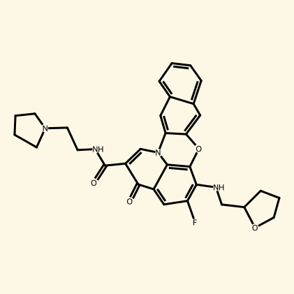 O=C(NCCN1CCCC1)c1cn2c3c(c(NCC4CCCO4)c(F)cc3c1=O)Oc1cc3ccccc3cc1-2